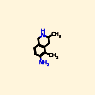 Cc1c(N)ccc2c1CC(C)NC2